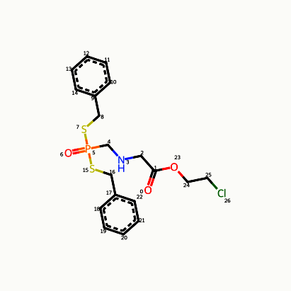 O=C(CNCP(=O)(SCc1ccccc1)SCc1ccccc1)OCCCl